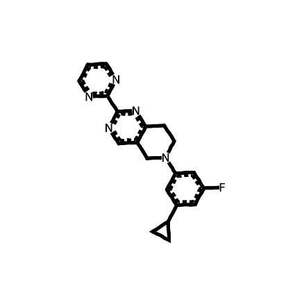 Fc1cc(C2CC2)cc(N2CCc3nc(-c4ncccn4)ncc3C2)c1